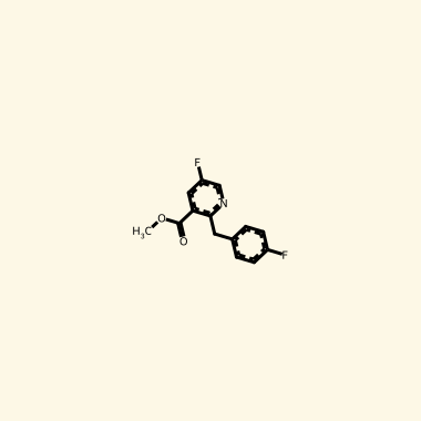 COC(=O)c1cc(F)cnc1Cc1ccc(F)cc1